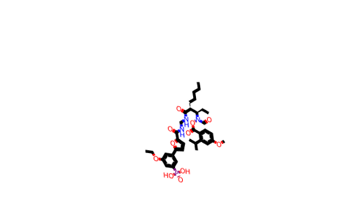 CCCCC[C@@H](C(=O)NCNC(=O)c1ccc(-c2cc(OCC)cc(P(=O)(O)O)c2)o1)[C@@H](CC)N(C=O)OC(=O)c1ccc(OC)cc1C(C)C